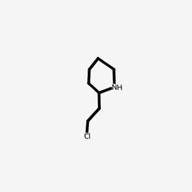 ClCCC1CCCCN1